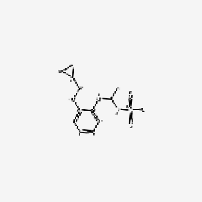 CC(Oc1ccccc1OCC1CC1)OS(C)(=O)=O